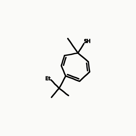 CCC(C)(C)C1=CC=CC(C)(S)C=C1